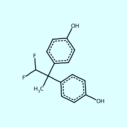 CC(c1ccc(O)cc1)(c1ccc(O)cc1)C(F)F